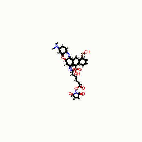 CN(C)c1ccc2nc3c4cc5c(SO)cccc5c(S(=O)(=O)O)c4/c(=N\CCCCCC(=O)ON4C(=O)CCC4=O)cc-3oc2c1